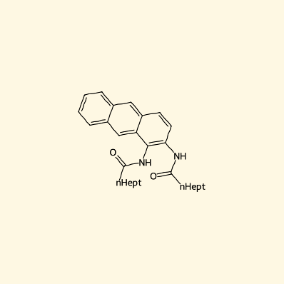 CCCCCCCC(=O)Nc1ccc2cc3ccccc3cc2c1NC(=O)CCCCCCC